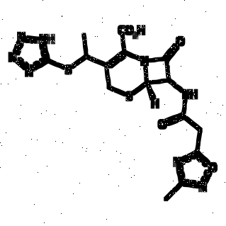 Cc1noc(CC(=O)NC2C(=O)N3C(C(=O)O)=C(C(C)Sc4nnn[nH]4)CS[C@@H]23)n1